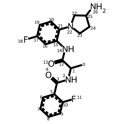 CC(NC(=O)c1ccccc1F)C(=O)Nc1cc(F)ccc1N1CCC(N)C1